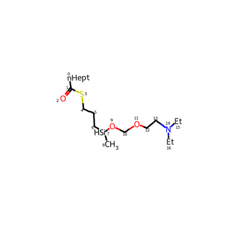 CCCCCCCC(=O)SCCC[SiH](C)OCOCCN(CC)CC